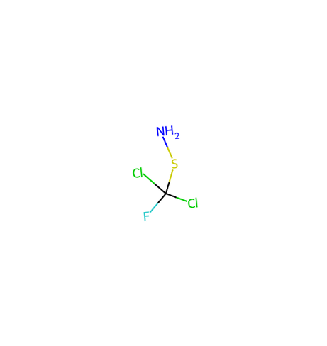 NSC(F)(Cl)Cl